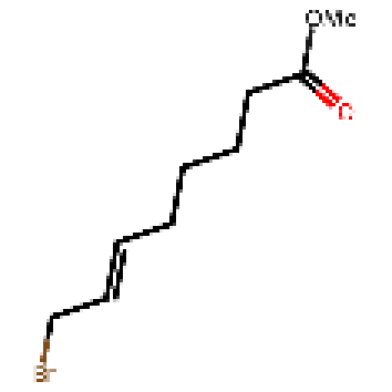 COC(=O)CCCCC=CCBr